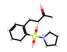 CC(=O)CCC1=C(S(=O)(=O)N2CCCC2)CCC=C1